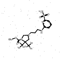 [2H]C([2H])([2H])C1(C([2H])([2H])[2H])C[C@H](CCCNc2cccc(S(N)(=O)=O)n2)CN1C(=O)OC(C)(C)C